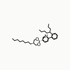 CCCCCCCC[C@H]1CO[C@H](c2ccc(-c3ccccc3C(CCC)CCCC)nc2)OC1